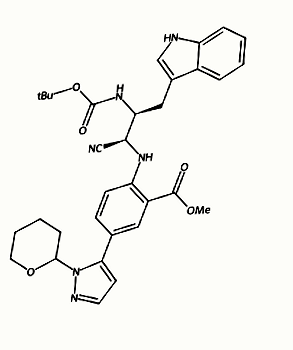 COC(=O)c1cc(-c2ccnn2C2CCCCO2)ccc1N[C@@H](C#N)[C@H](Cc1c[nH]c2ccccc12)NC(=O)OC(C)(C)C